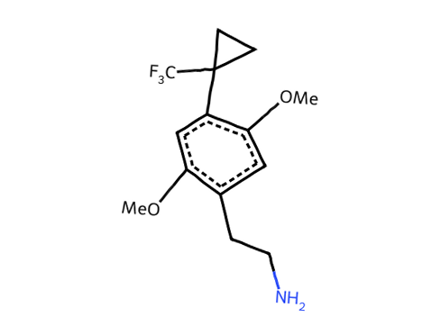 COc1cc(C2(C(F)(F)F)CC2)c(OC)cc1CCN